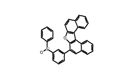 [O-][S+](c1ccccc1)c1cccc(-c2cc3ccccc3c3c2oc2ccc4ccccc4c23)c1